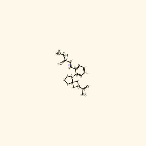 CC(C)(C)C(=O)N1CC2(CCCN2c2ccccc2/C=C/C(=O)NO)C1